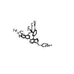 Cn1ncc2cc(-c3ncc4c(ccn4CC4CCNC4)c3-c3ccc(C#N)c(C(F)(F)F)c3)ccc21